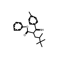 Cc1ccc(C(=N)C(CC(C)C(C)(C)C)C(=O)Oc2ccccc2)cc1